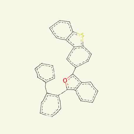 c1ccc(-c2ccccc2-c2oc(-c3ccc4sc5ccccc5c4c3)c3ccccc23)cc1